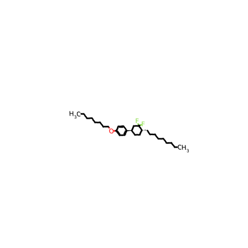 CCCCCCCCC[C@@H]1CC[C@@H](c2ccc(OCCCCCCCC)cc2)CC1(F)F